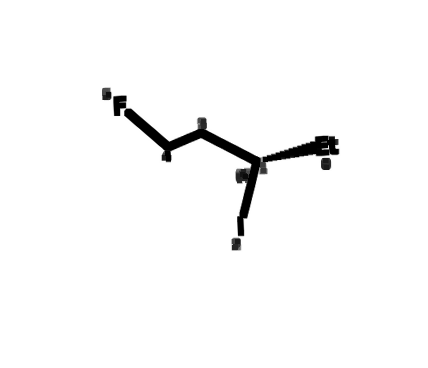 CC[C@H](I)CCF